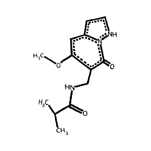 COc1cc2cc[nH]n2c(=O)c1CNC(=O)C(C)C